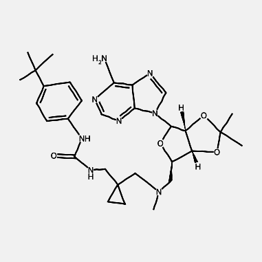 CN(C[C@H]1OC(n2cnc3c(N)ncnc32)[C@@H]2OC(C)(C)O[C@H]12)CC1(CNC(=O)Nc2ccc(C(C)(C)C)cc2)CC1